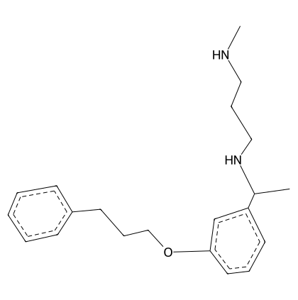 CNCCCNC(C)c1cccc(OCCCc2ccccc2)c1